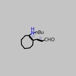 CCCCN/C1=C(\C=C\C=O)CCCCCC1